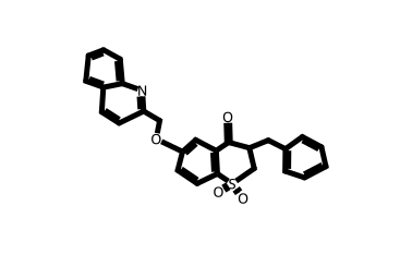 O=C1c2cc(OCc3ccc4ccccc4n3)ccc2S(=O)(=O)CC1Cc1ccccc1